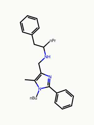 CCCCn1c(-c2ccccc2)nc(CNC(CCC)Cc2ccccc2)c1C